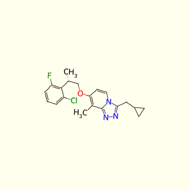 Cc1c(OC[C@@H](C)c2c(F)cccc2Cl)ccn2c(CC3CC3)nnc12